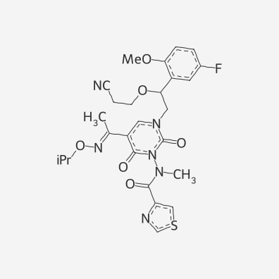 COc1ccc(F)cc1C(Cn1cc(/C(C)=N/OC(C)C)c(=O)n(N(C)C(=O)c2cscn2)c1=O)OCCC#N